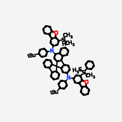 C[SiH](C)c1cc(N(c2ccc(C(C)(C)C)cc2)c2cc3c(c4ccccc24)-c2ccc(N(c4ccc(C(C)(C)C)cc4)c4cc([Si](C)(C)c5ccccc5)c5oc6ccccc6c5c4)cc2C32c3ccccc3-c3ccccc32)cc2c1oc1ccccc12